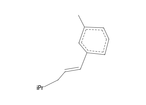 Cc1cccc(C=CCC(C)C)c1